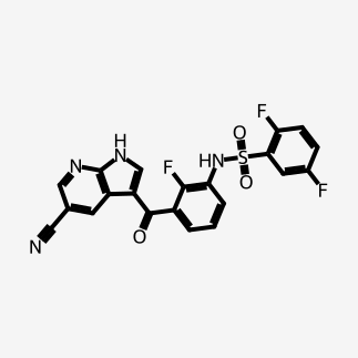 N#Cc1cnc2[nH]cc(C(=O)c3cccc(NS(=O)(=O)c4cc(F)ccc4F)c3F)c2c1